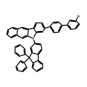 Brc1cccc(-c2ccc(-c3ccc4c5cc6ccccc6cc5n(-c5ccc6c(c5)C(c5ccccc5)(c5ccccc5)c5ccccc5-6)c4c3)cc2)c1